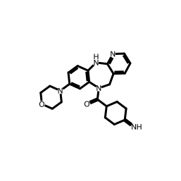 N=C1CCC(C(=O)N2Cc3cccnc3Nc3ccc(N4CCOCC4)cc32)CC1